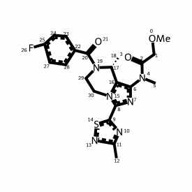 COCC(=O)N(C)c1nc(-c2nc(C)ns2)n2c1[C@@H](C)N(C(=O)c1ccc(F)cc1)CC2